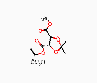 C[C@H](OC(=O)[C@H]1OC(C)(C)O[C@@H]1C(=O)OC(C)(C)C)C(=O)O